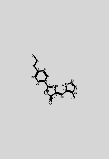 CCCc1ccc(C2=N/C(=C\c3scnc3C)C(=O)O2)cc1